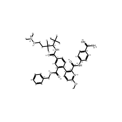 COc1ccc(-c2ccc(C(=O)NC(C(C)(C)C)C(C)(C)CCO[SiH](C)C)cc2C(=O)OCc2ccccc2)c(C(=O)Nc2ccc(C(=N)N)cc2)n1